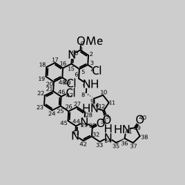 COc1cc(Cl)c(CNC[C@@H]2CCC(=O)N2)c(-c2cccc(-c3cccc(-c4ccn5c(=O)c(CNC[C@@H]6CCC(=O)N6)cnc5c4)c3Cl)c2Cl)n1